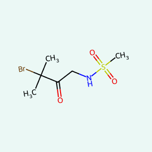 CC(C)(Br)C(=O)CNS(C)(=O)=O